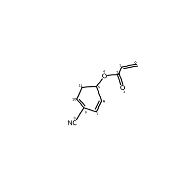 C=CC(=O)OC1C=CC(C#N)=CC1